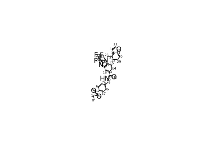 CCS(=O)(=O)c1ccc(CNC(=O)c2ccc3c(c2)nc(C(F)(F)F)n3Cc2cccc3occc23)cc1